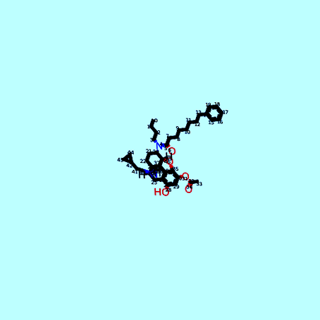 CCCCN(C(=O)CCCCCCCc1ccccc1)[C@H]1CC[C@H]2[C@H]3Cc4c(O)cc(OC(C)=O)c5c4[C@@]2(CCN3CC2CC2)[C@H]1O5